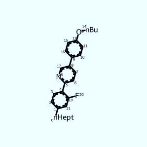 CCCCCCCc1ccc(-c2ccc(-c3ccc(OCCCC)cc3)cn2)c(F)c1